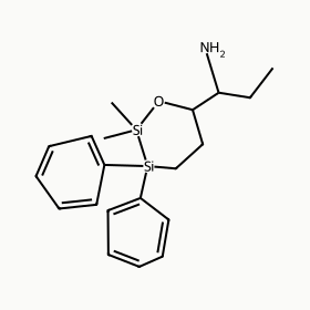 CCC(N)C1CC[Si](c2ccccc2)(c2ccccc2)[Si](C)(C)O1